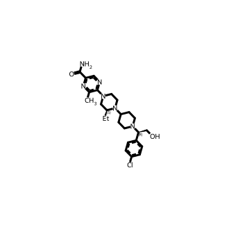 CC[C@H]1CN(c2ncc(C(N)=O)nc2C)CCN1C1CCN([C@@H](CO)c2ccc(Cl)cc2)CC1